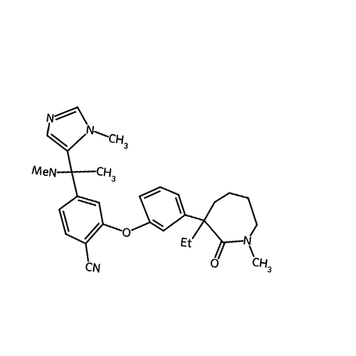 CCC1(c2cccc(Oc3cc(C(C)(NC)c4cncn4C)ccc3C#N)c2)CCCCN(C)C1=O